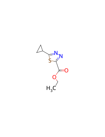 CCOC(=O)c1nnc(C2CC2)s1